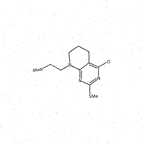 CNCCN1CCCc2c(Cl)nc(SC)nc21